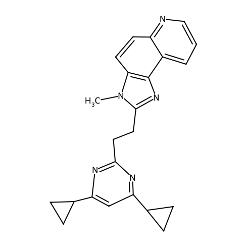 Cn1c(CCc2nc(C3CC3)cc(C3CC3)n2)nc2c3cccnc3ccc21